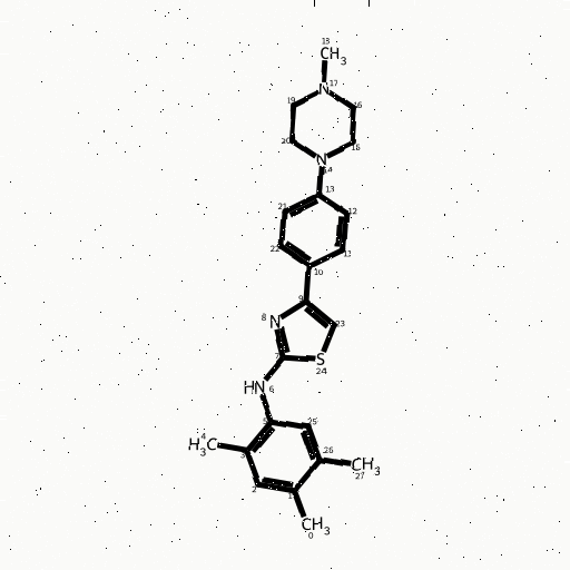 Cc1cc(C)c(Nc2nc(-c3ccc(N4CCN(C)CC4)cc3)cs2)cc1C